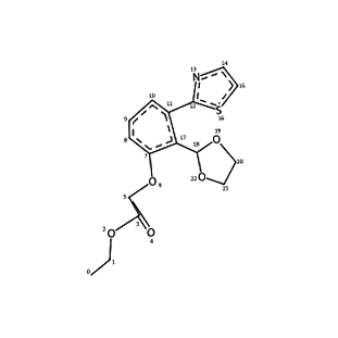 CCOC(=O)COc1cccc(-c2nccs2)c1C1OCCO1